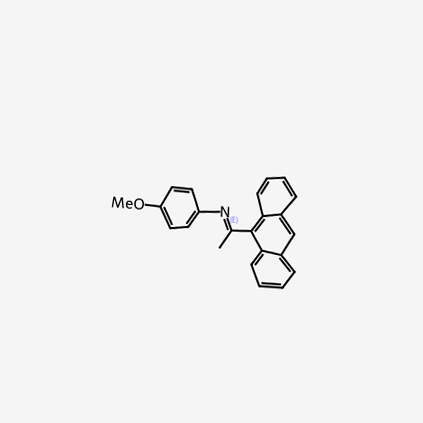 COc1ccc(/N=C(\C)c2c3ccccc3cc3ccccc23)cc1